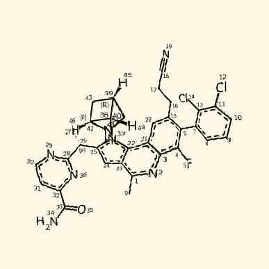 Cc1nc2c(F)c(-c3cccc(Cl)c3Cl)c(CCC#N)cc2c2c1cc([C@@H](C)c1nccc(C(N)=O)n1)n2[C@H]1[C@H]2CN[C@@H]1C2